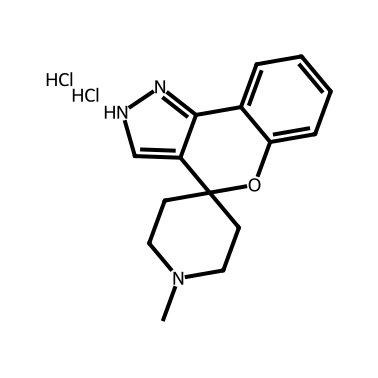 CN1CCC2(CC1)Oc1ccccc1-c1n[nH]cc12.Cl.Cl